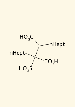 CCCCCCCC(C(=O)O)C(CCCCCCC)(C(=O)O)S(=O)(=O)O